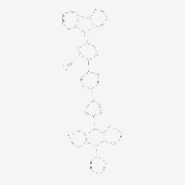 N#Cc1cc(-n2c3ccccc3c3ccccc32)ccc1-c1ccc(-c2ccc(-c3c4ccccc4c(-c4ccccc4)c4ccccc34)cc2)cc1